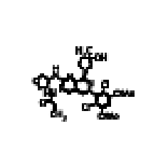 C=CC(=O)N[C@H]1COC[C@H]1Nc1ncc2cc(-c3c(Cl)c(OC)cc(OC)c3Cl)nc(N3CCC(C)(O)C3)c2n1